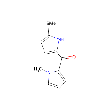 CSc1ccc(C(=O)c2cccn2C)[nH]1